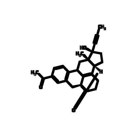 CC#C[C@]1(O)CC[C@H]2C3=C4C(C[C@@]21C)c1ccc(C(C)=O)cc1C[C@@]41CCC(=O)C=C1CC3